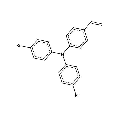 C=Cc1ccc(N(c2ccc(Br)cc2)c2ccc(Br)cc2)cc1